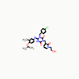 Cc1cc(/N=c2\[nH]c(=O)n(Cc3cccn(CCO)c3=O)c(=O)n2Cc2ccc(Cl)cc2)ccc1OC(C)C